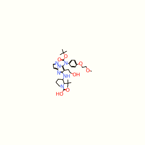 COCCOc1ccc(N(C(=O)OC(C)(C)C)c2c(CCO)c(NC3CCCN(C(=O)O)C3C(C)(C)C)nc3ccnn23)cc1